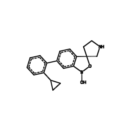 OB1OC2(CCNC2)c2ccc(-c3ccccc3C3CC3)cc21